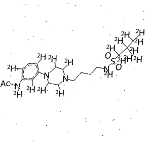 [2H]c1cc([2H])c(N2C([2H])C([2H])N(CCCCN([2H])S(=O)(=O)C([2H])([2H])C([2H])(C([2H])([2H])[2H])C([2H])([2H])[2H])C([2H])C2[2H])c([2H])c1N([2H])C(C)=O